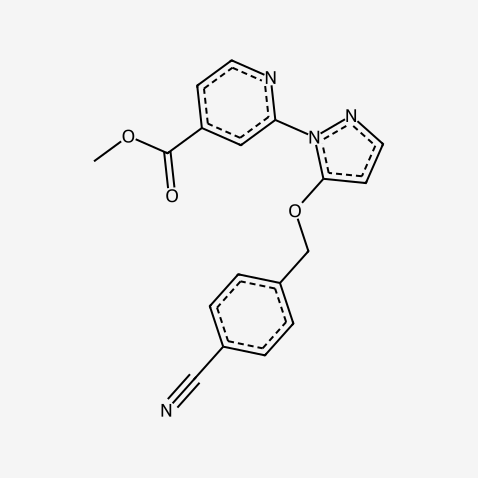 COC(=O)c1ccnc(-n2nccc2OCc2ccc(C#N)cc2)c1